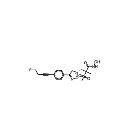 CC(C[C@H]1CC(c2ccc(C#CCCF)cc2)=NO1)(C(=O)NO)S(C)(=O)=O